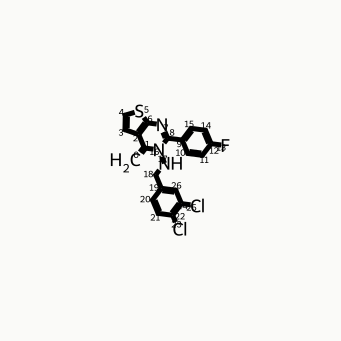 C=C1c2ccsc2N=C(c2ccc(F)cc2)N1NCc1ccc(Cl)c(Cl)c1